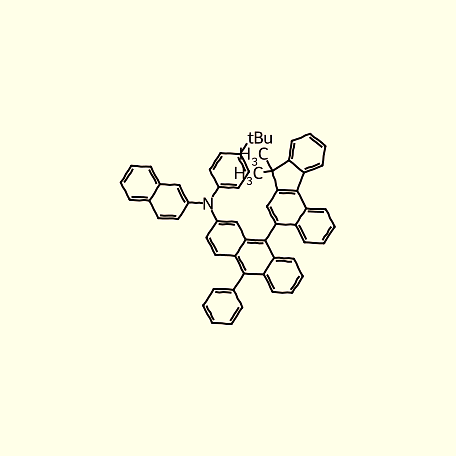 CC(C)(C)c1ccc(N(c2ccc3ccccc3c2)c2ccc3c(-c4ccccc4)c4ccccc4c(-c4cc5c(c6ccccc46)-c4ccccc4C5(C)C)c3c2)cc1